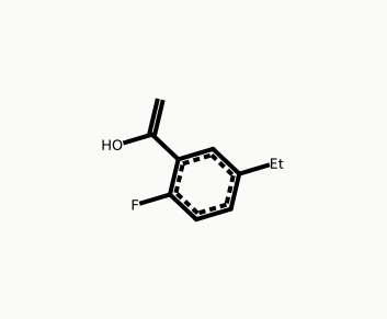 C=C(O)c1cc(CC)ccc1F